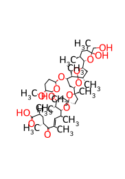 CO[C@H]1CC[C@@H](O[C@H]2C[C@H]([C@]3(C)CC[C@]4(C[C@H](O)[C@@H](C)[C@@H]([C@@H](C)/C=C(\C)C(=O)[C@H](C)C[C@H](C)C(=O)O)O4)O3)O[C@]3(O[C@@H]([C@H]4O[C@@](O)(CO)[C@H](C)C[C@@H]4C)C[C@@H]3C)[C@@H]2C)O[C@@H]1C